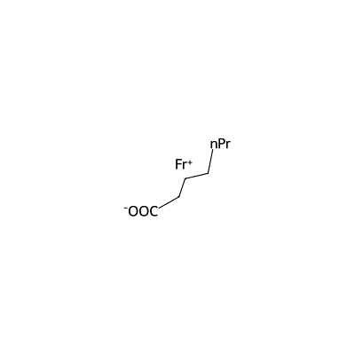 CCCCCCC(=O)[O-].[Fr+]